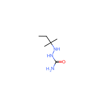 CCC(C)(C)NNC(N)=O